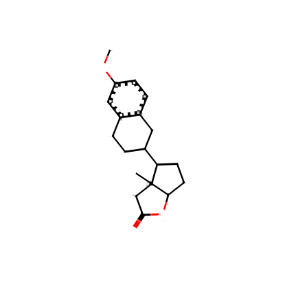 COc1ccc2c(c1)CCC(C1CCC3OC(=O)CC31C)C2